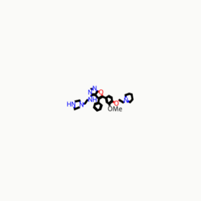 COc1cc(-c2oc3ncnc(NCCN4CCNCC4)c3c2-c2ccccc2)ccc1OCCN1CCCCC1